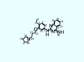 CCc1ccc(Nc2nc(NC)c3ccccc3n2)cc1OCCCN1CCCC1